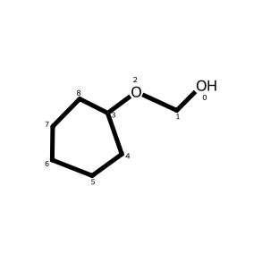 OCOC1CCCCC1